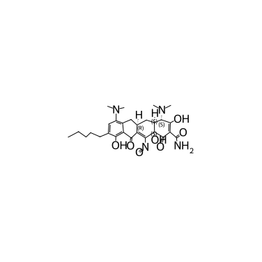 CCCCCc1cc(N(C)C)c2c(c1O)C(=O)C1=C(N=O)[C@]3(O)C(=O)C(C(N)=O)=C(O)[C@@H](N(C)C)[C@@H]3C[C@@H]1C2